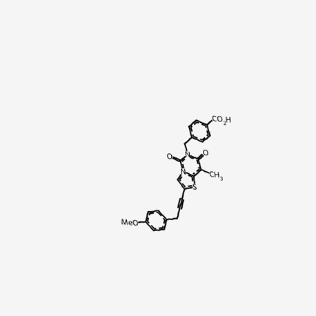 COc1ccc(CC#Cc2cn3c(=O)n(Cc4ccc(C(=O)O)cc4)c(=O)c(C)c3s2)cc1